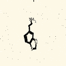 NCCc1ccc2c(c1)OCS2